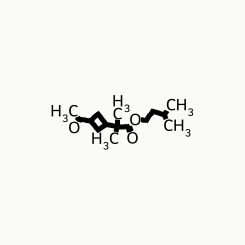 CC(=O)C1CC(C(C)(C)C(=O)OCCC(C)C)C1